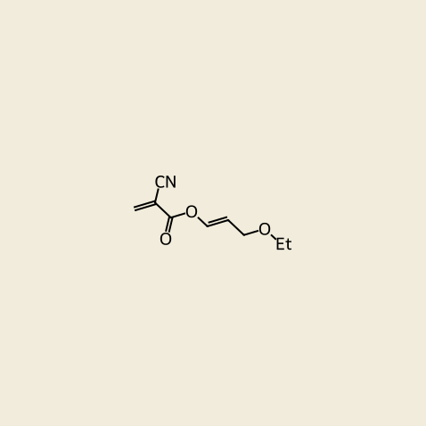 C=C(C#N)C(=O)OC=CCOCC